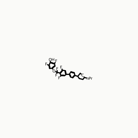 CCCC1CCC(c2ccc(-c3cc(F)c(C(F)(F)Oc4cc(F)c(O)c(F)c4)c(F)c3)cc2)CC1